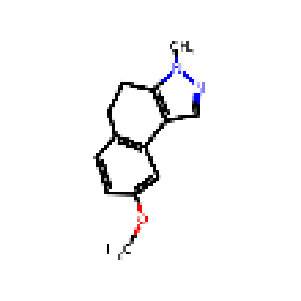 COc1ccc2c(c1)-c1cnn(C)c1CC2